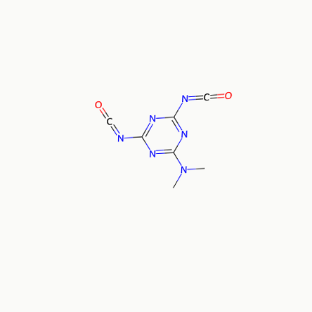 CN(C)c1nc(N=C=O)nc(N=C=O)n1